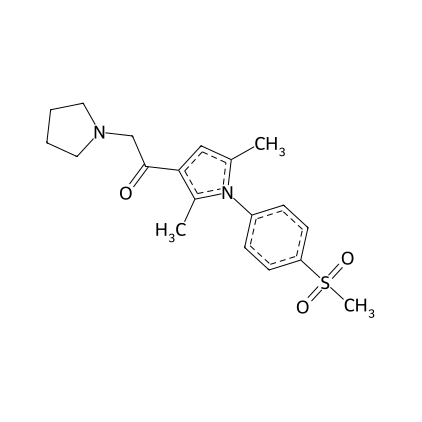 Cc1cc(C(=O)CN2CCCC2)c(C)n1-c1ccc(S(C)(=O)=O)cc1